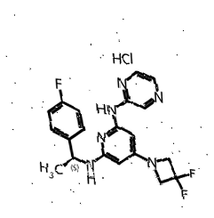 C[C@H](Nc1cc(N2CC(F)(F)C2)cc(Nc2cnccn2)n1)c1ccc(F)cc1.Cl